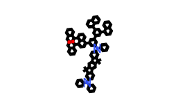 CC1(C)c2cc(N(c3ccccc3)c3ccccc3)ccc2-c2cc3c(cc21)-c1ccc(N(c2ccccc2)c2cc(-c4cc(-c5cccc6ccccc56)cc(-c5cccc6ccccc56)c4)cc(-c4ccc(-c5cccc6ccccc56)c5c(-c6cccc7ccccc67)cccc45)c2)cc1C3(C)C